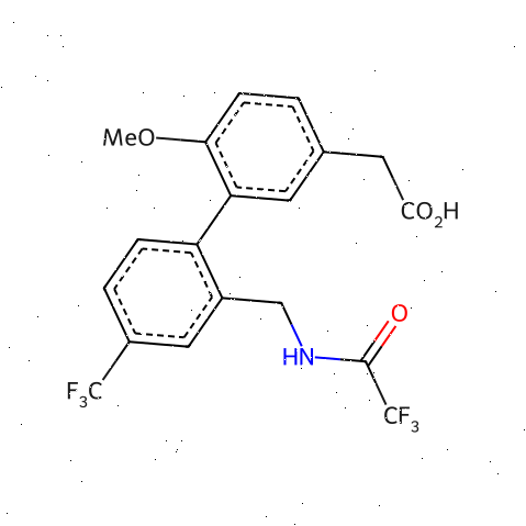 COc1ccc(CC(=O)O)cc1-c1ccc(C(F)(F)F)cc1CNC(=O)C(F)(F)F